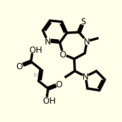 CC(C1CN(C)C(=S)c2cccnc2O1)N1CC=CC1.O=C(O)/C=C/C(=O)O